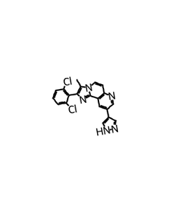 Cc1c(-c2c(Cl)cccc2Cl)nc2c3cc(-c4cn[nH]c4)cnc3ccn12